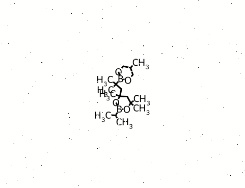 CC1COB(C(C)(C)CC2(C)CC(C)(C)OB(C(C)C)O2)OC1